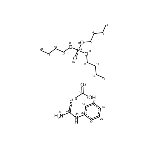 CC(=O)O.CCCCOP(=O)(OCCCC)OCCCC.NC(=S)Nc1ccccc1